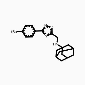 CC(C)(C)c1ccc(-c2noc(CNC34CC5CC(CC(C5)C3)C4)n2)cc1